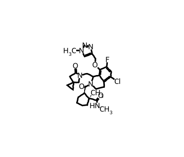 CNC(=O)[C@@]1(C)CCCC[C@H]1C(=O)N1CCc2c(Cl)cc(F)c(OCc3cn(C)nn3)c2C1CN1CC2(CC2)CC1=O